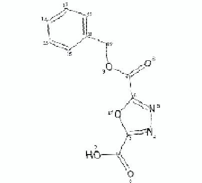 O=C(O)c1nnc(C(=O)OCc2ccccc2)o1